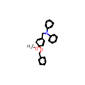 COC1(OCc2ccccc2)C=CC(CN(c2ccccc2)c2ccccc2)=CC1